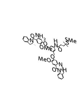 COc1cc(C(=O)N2c3ccccc3C[C@H]2C)c(N)cc1OCc1cc(COc2cc3c(cc2OC)C(=O)N2c4ccccc4C[C@H]2C=N3)cc(NC(=O)CCC(C)(C)SSC)c1